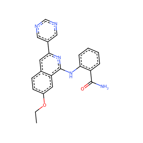 CCOc1ccc2cc(-c3cncnc3)nc(Nc3ccccc3C(N)=O)c2c1